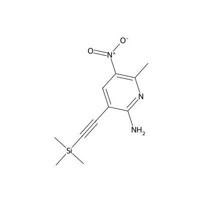 Cc1nc(N)c(C#C[Si](C)(C)C)cc1[N+](=O)[O-]